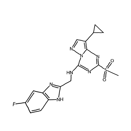 CS(=O)(=O)c1nc(NCc2nc3cc(F)ccc3[nH]2)n2ncc(C3CC3)c2n1